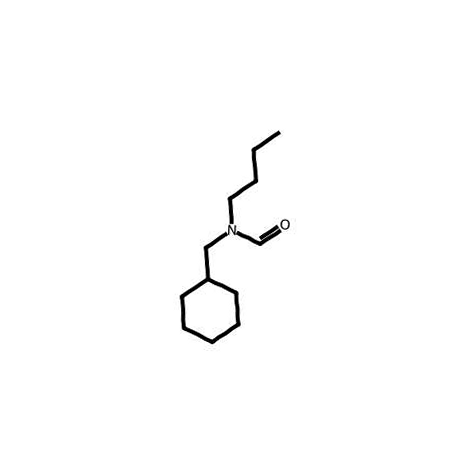 CCCCN(C=O)CC1CCCCC1